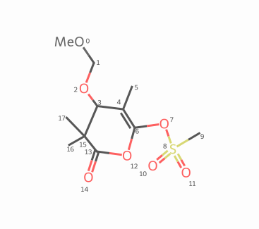 COCOC1C(C)=C(OS(C)(=O)=O)OC(=O)C1(C)C